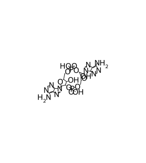 Nc1ncnc2c1ncn2C1OC2COP(=O)(O)OC3C(O)C(COP(=O)(O)OC1C2O)OC3n1cnc2c(N)ncnc21